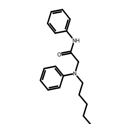 CCCCCN(CC(=O)Nc1ccccc1)c1ccccc1